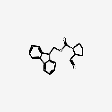 O=CC1CCCN1C(=O)OCC1c2ccccc2-c2ccccc21